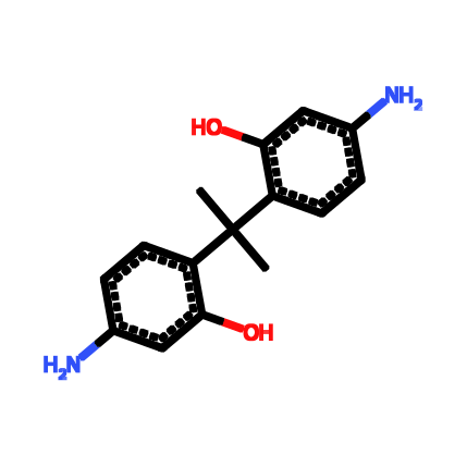 CC(C)(c1ccc(N)cc1O)c1ccc(N)cc1O